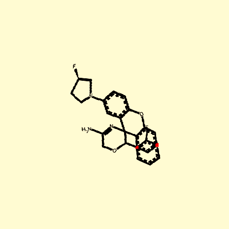 NC1=NC2(c3ccccc3Oc3ccc(N4CC[C@@H](F)C4)cc32)C(c2cccnc2F)OC1